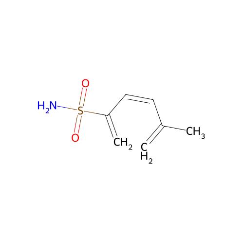 C=C(C)/C=C\C(=C)S(N)(=O)=O